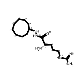 N=C(N)NCCC[C@H](N)C(=O)NBC1CCCCCCCC1